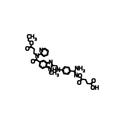 CCOC(=O)CCN(C(=O)c1ccc2c(c1)nc(CNc1ccc(/C(N)=N/OC(=O)CCC(=O)O)cc1)n2C)c1ccccn1